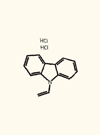 C=Cn1c2ccccc2c2ccccc21.Cl.Cl